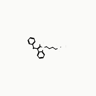 Cc1c(C(=O)c2ccccc2)c2ccccc2n1CCCCS(C)(=O)=O